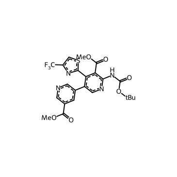 COC(=O)c1cncc(-c2cnc(NC(=O)OC(C)(C)C)c(C(=O)OC)c2-c2nc(C(F)(F)F)cs2)c1